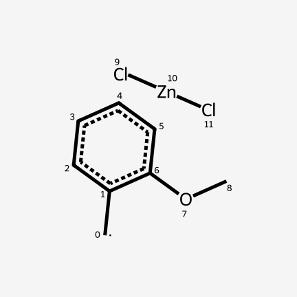 [CH2]c1ccccc1OC.[Cl][Zn][Cl]